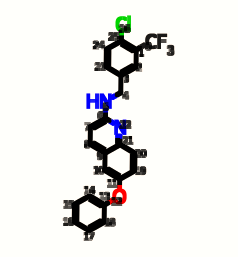 FC(F)(F)c1cc(CNc2ccc3cc(Oc4ccccc4)ccc3n2)ccc1Cl